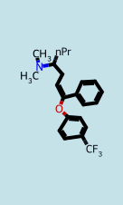 CCCC(CC=C(Oc1ccc(C(F)(F)F)cc1)c1ccccc1)N(C)C